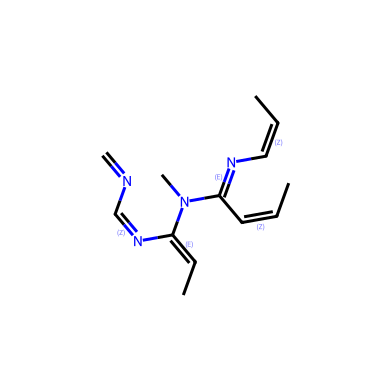 C=N/C=N\C(=C/C)N(C)C(/C=C\C)=N/C=C\C